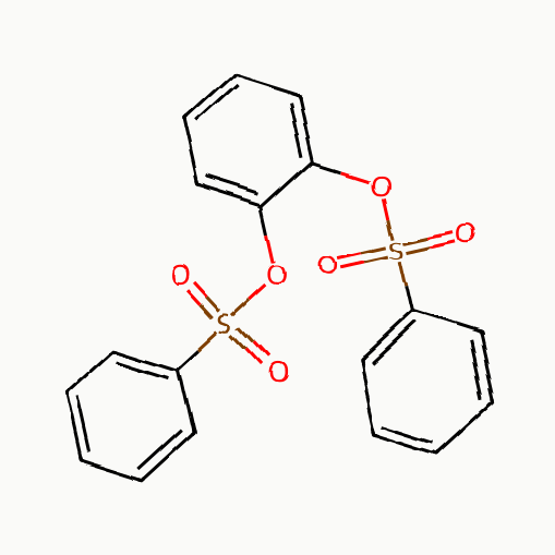 O=S(=O)(Oc1ccccc1OS(=O)(=O)c1ccccc1)c1ccccc1